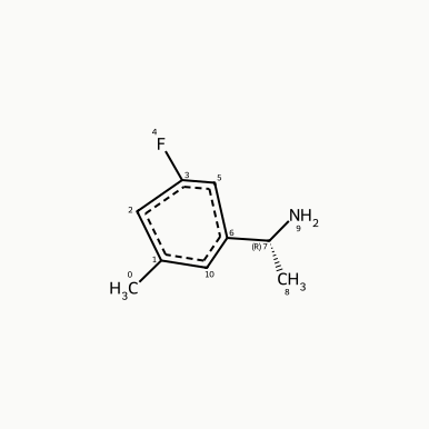 Cc1cc(F)cc([C@@H](C)N)c1